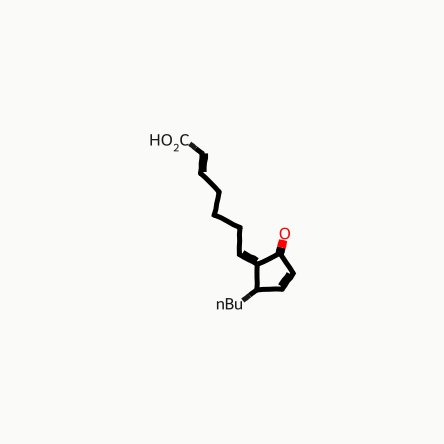 CCCCC1C=CC(=O)C1=CCCCC=CC(=O)O